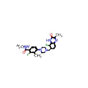 CNC(=O)c1ccc(N2CCN(Cc3ccc4nc(C)c(=O)[nH]c4c3F)CC2)c(C)c1F